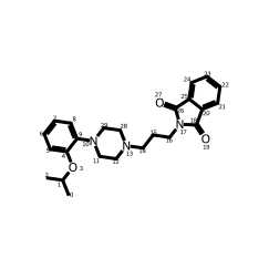 CC(C)Oc1ccccc1N1CCN(CCCN2C(=O)c3ccccc3C2=O)CC1